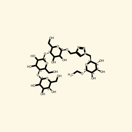 CCO[C@@H]1O[C@@H](Cn2cc(CO[C@@H]3OC(CO)[C@@H](O[C@H]4OC(CO)[C@@H](O[C@H]5OC(CO)[C@@H](O)C(O)C5O)C(O)C4O)C(O)C3O)nn2)[C@H](O)[C@@H](O)[C@H]1O